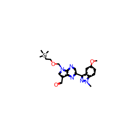 COc1ccc2c(c1)c(-c1cnc3c(n1)c(C=O)cn3COCC[Si](C)(C)C)nn2C